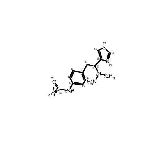 CN(N)[C@@H](Cc1ccc(N[SH](=O)=O)cc1)c1cscn1